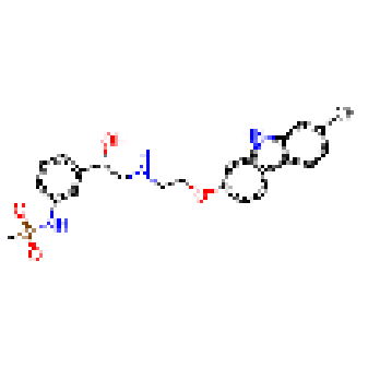 CS(=O)(=O)Nc1cccc([C@H](O)CNCCOc2ccc3c(c2)[nH]c2cc(C(F)(F)F)ccc23)c1